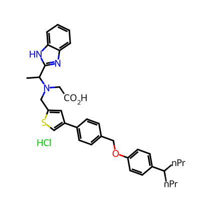 CCCC(CCC)c1ccc(OCc2ccc(-c3csc(CN(CC(=O)O)C(C)c4nc5ccccc5[nH]4)c3)cc2)cc1.Cl